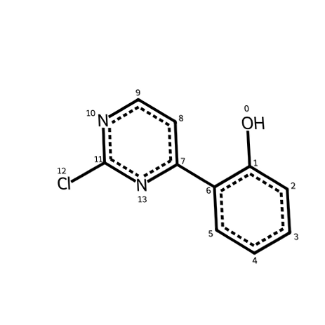 Oc1ccccc1-c1ccnc(Cl)n1